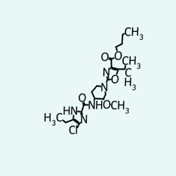 CCCCOC(=O)c1nc(N2CCC(NC(=O)c3nc(Cl)c(CC)[nH]3)C(OC)C2)oc1C(C)C